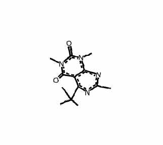 Cc1nc(C(C)(C)C)c2c(=O)n(C)c(=O)n(C)c2n1